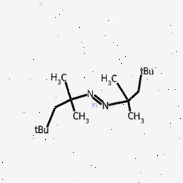 CC(C)(C)CC(C)(C)/N=N/C(C)(C)CC(C)(C)C